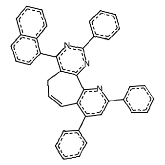 C1=Cc2c(-c3ccccc3)cc(-c3ccccc3)nc2-c2nc(-c3ccccc3)nc(-c3cccc4ccccc34)c2C1